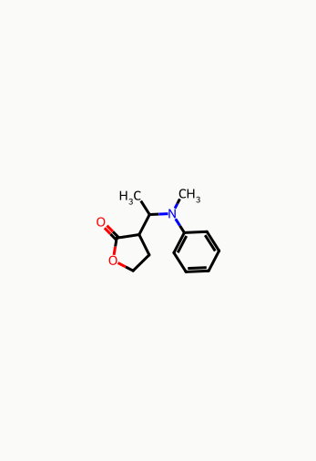 CC(C1CCOC1=O)N(C)c1ccccc1